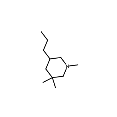 CCCC1CN(C)CC(C)(C)C1